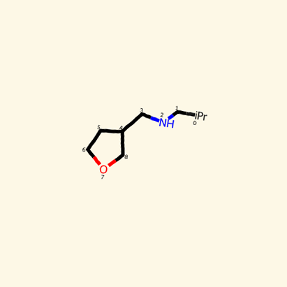 CC(C)CNCC1CCOC1